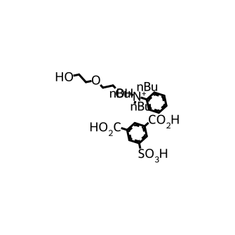 CCCC[N+](CCCC)(CCCC)c1ccccc1.O=C(O)c1cc(C(=O)O)cc(S(=O)(=O)O)c1.OCCOCCO